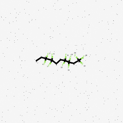 CCC(F)(F)C(F)(F)CCC(F)(F)C(F)(F)CC(F)(F)F